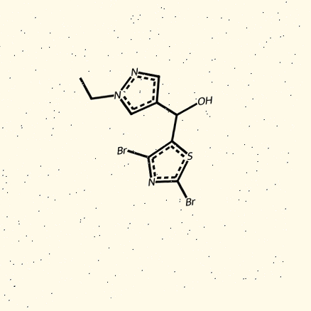 CCn1cc(C(O)c2sc(Br)nc2Br)cn1